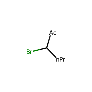 CCCC(Br)C(C)=O